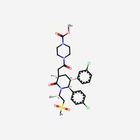 CC(C)[C@@H](CS(=O)(=O)C(C)C)N1C(=O)[C@@](C)(CC(=O)N2CCN(C(=O)OC(C)(C)C)CC2)C[C@H](c2cccc(Cl)c2)[C@H]1c1ccc(Cl)cc1